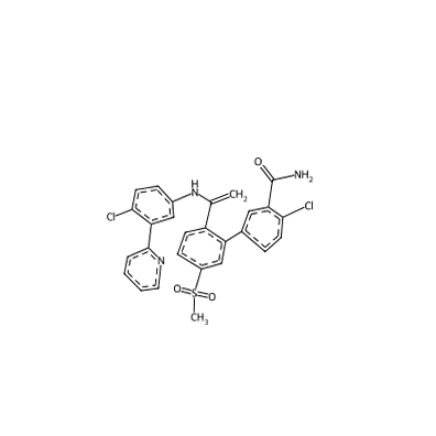 C=C(Nc1ccc(Cl)c(-c2ccccn2)c1)c1ccc(S(C)(=O)=O)cc1-c1ccc(Cl)c(C(N)=O)c1